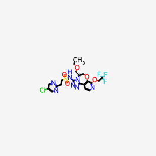 CCOC[C@H]1COc2c(ccnc2OCC(F)(F)F)-c2nnc(NS(=O)(=O)CCc3ncc(Cl)cn3)n21